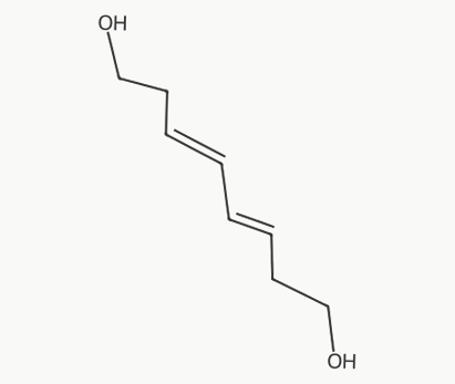 OCCC=CC=CCCO